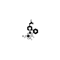 CC(C)(C)OC(=O)N1CC[C@@H](CC(F)F)C[C@H]1c1ccccc1